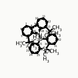 CC(C)(C)c1cccc2c3cccc(C(C)(C)C)c3n(B3c4ccccc4[Si](C)(C)c4ccccc43)c12